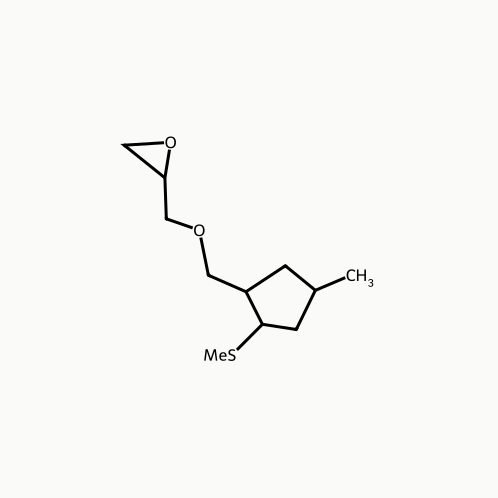 CSC1CC(C)CC1COCC1CO1